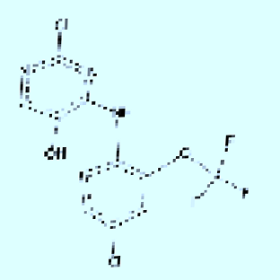 Oc1cnc(Cl)nc1Nc1ccc(Cl)cc1OC(F)(F)F